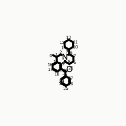 CC(CN1CCCCC1C1CCCCC1)c1cccc(C(=O)c2ccccc2)c1